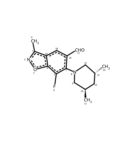 Cc1noc2c(F)c(N3C[C@H](C)C[C@@H](C)C3)c(C=O)cc12